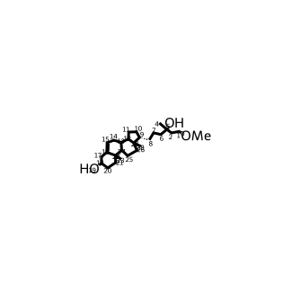 COCCC(C)(O)CCC[C@H]1CCC2C3CC=C4CC(O)CCC4(C)C3CCC21C